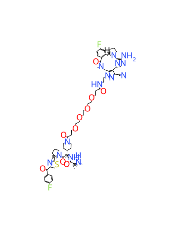 CN[C@H](C)C(=O)N[C@@H](C(=O)N1CCC[C@@H]1C1=NC(C(=O)c2ccc(F)cc2)CS1)C1CCN(C(=O)CCOCCOCCOCCOCCC(=O)NCCn2nc(C#N)c3c2CN(C)C(=O)c2ccc(F)cc2[C@H]2CCCN2c2nc-3cnc2N)CC1